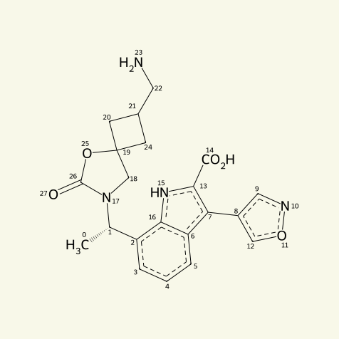 C[C@@H](c1cccc2c(-c3cnoc3)c(C(=O)O)[nH]c12)N1CC2(CC(CN)C2)OC1=O